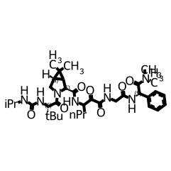 CCCC(NC(=O)[C@@H]1C2[C@H](CN1C(=O)[C@@H](NC(=O)NC(C)C)C(C)(C)C)C2(C)C)C(=O)C(=O)NCC(=O)N[C@H](C(=O)N(C)C)c1ccccc1